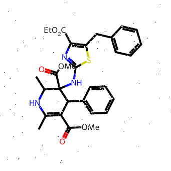 CCOC(=O)c1nc(NC2(C(=O)OC)C(C)NC(C)=C(C(=O)OC)C2c2ccccc2)sc1Cc1ccccc1